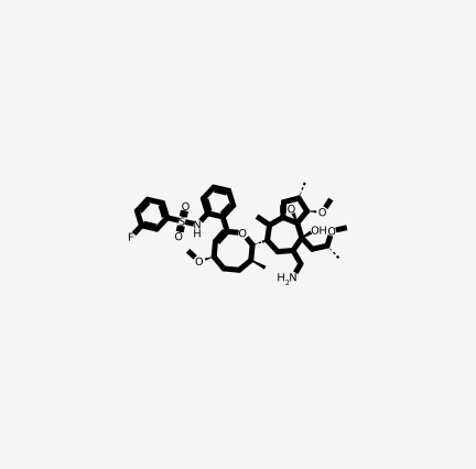 CO[C@H](C)C[C@]1(O)C(CN)CC([C@H]2O/C(c3ccccc3NS(=O)(=O)c3cccc(F)c3)=C\[C@@H](OC)CC[C@@H]2C)C(C)C2C[C@H](C)[C@H](OC)[C@@]21O